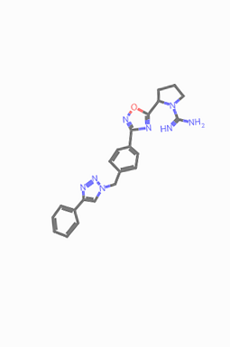 N=C(N)N1CCCC1c1nc(-c2ccc(Cn3cc(-c4ccccc4)nn3)cc2)no1